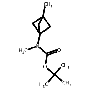 CN(C(=O)OC(C)(C)C)C12CC(C)(C1)C2